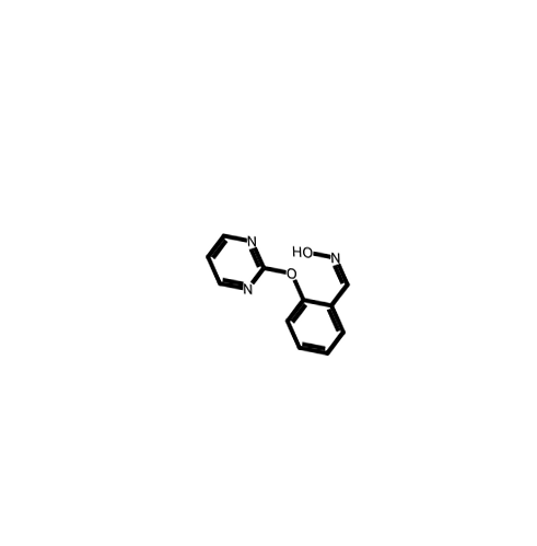 O/N=C\c1ccccc1Oc1ncccn1